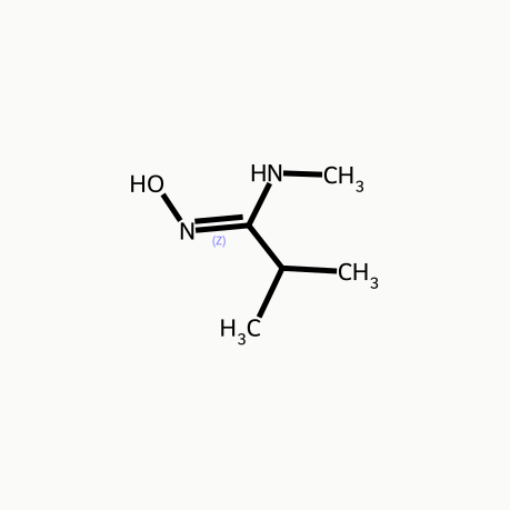 CN/C(=N\O)C(C)C